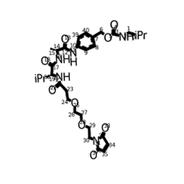 CC(C)CNC(=O)OCc1ccc(NC(=O)[C@H](C)NC(=O)[C@@H](NC(=O)CCOCCOCCN2C(=O)C=CC2=O)C(C)C)cc1